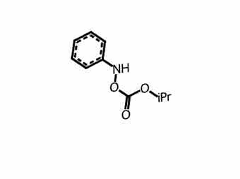 CC(C)OC(=O)ONc1ccccc1